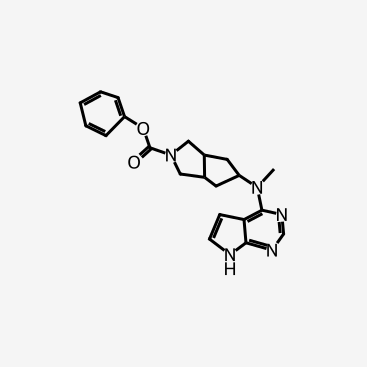 CN(c1ncnc2[nH]ccc12)C1CC2CN(C(=O)Oc3ccccc3)CC2C1